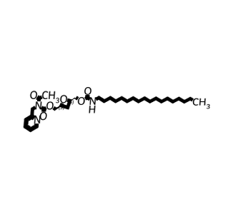 CCCCCCCCCCCCCCCCCCNC(=O)OC[C@@H]1C[C@@H](COC(=O)N(Cc2ccccn2)C(C)=O)O1